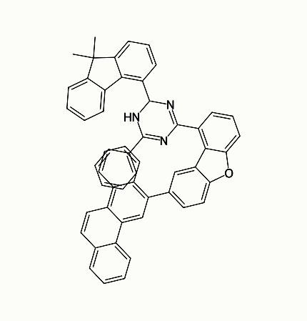 CC1(C)c2ccccc2-c2c(C3N=C(c4cccc5oc6ccc(-c7cc8c9ccccc9ccc8c8ccccc78)cc6c45)N=C(c4ccccc4)N3)cccc21